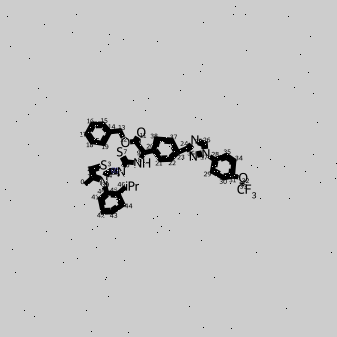 Cc1cs/c(=N\C(=S)NC(C(=O)OCc2ccccc2)c2ccc(-c3ncn(-c4ccc(OC(F)(F)F)cc4)n3)cc2)n1-c1ccccc1C(C)C